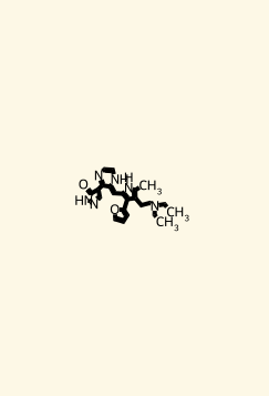 CCN(CC)CCc1c(C)[nH]c(C=C2NC=CN=C2C2C=NNC2=O)c1-c1ccco1